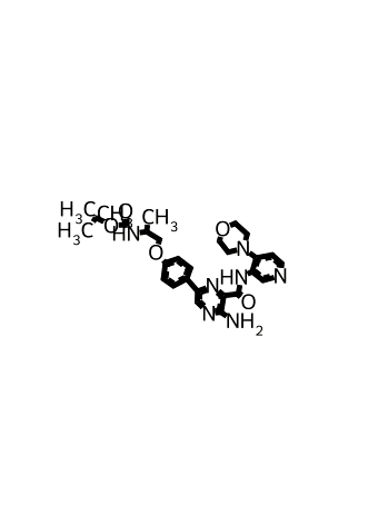 CC(COc1ccc(-c2cnc(N)c(C(=O)Nc3cnccc3N3CCOCC3)n2)cc1)NC(=O)OC(C)(C)C